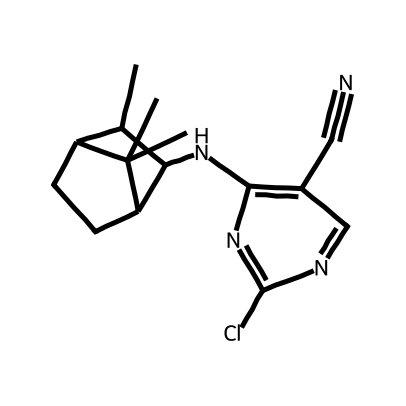 CC1C(Nc2nc(Cl)ncc2C#N)C2CCC1C2(C)C